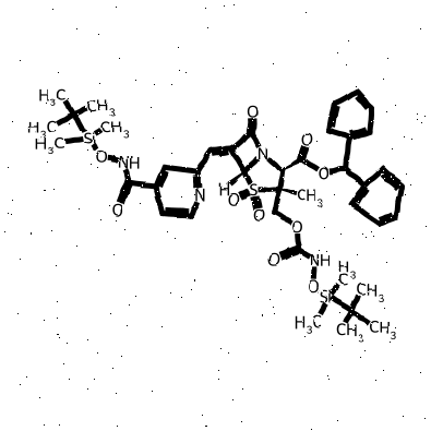 CC(C)(C)[Si](C)(C)ONC(=O)OC[C@@]1(C)[C@H](C(=O)OC(c2ccccc2)c2ccccc2)N2C(=O)/C(=C/c3cc(C(=O)NO[Si](C)(C)C(C)(C)C)ccn3)[C@H]2S1(=O)=O